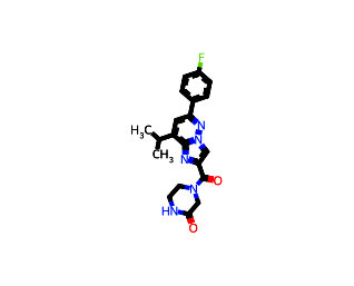 CC(C)c1cc(-c2ccc(F)cc2)nn2cc(C(=O)N3CCNC(=O)C3)nc12